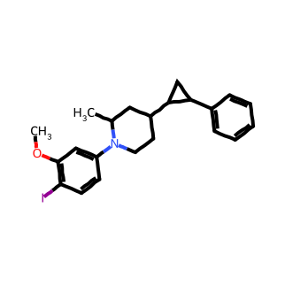 COc1cc(N2CCC(C3CC3c3ccccc3)CC2C)ccc1I